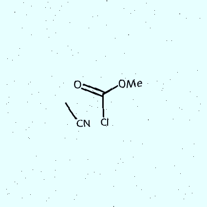 CC#N.COC(=O)Cl